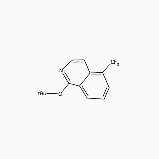 CC(C)(C)Oc1nccc2c(C(F)(F)F)cccc12